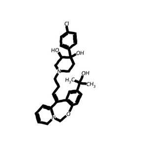 CC(C)(O)c1ccc2c(c1)C(=CCCN1CCC(O)(c3ccc(Cl)cc3)C(O)C1)C1=CC=CCN1CO2